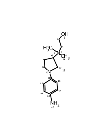 C[N+](C)(CCO)C1CCN(c2ccc(N)cc2)C1.[I-]